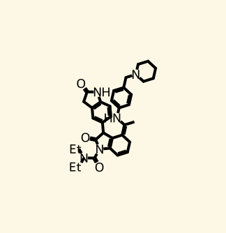 CCN(CC)C(=O)N1C(=O)C(c2ccc3c(c2)CC(=O)N3)C2=C1C=CCC2=C(C)Nc1ccc(CN2CCCCC2)cc1